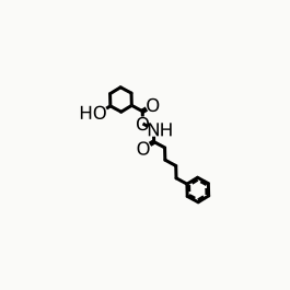 O=C(CCCCc1ccccc1)NOC(=O)C1CCCC(O)C1